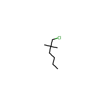 CCCCC(C)(C)CCl